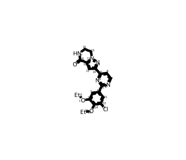 CCOc1cc(-c2nccc(-c3cc4n(n3)CCNC4=O)n2)cc(Cl)c1OCC